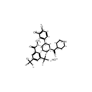 CN(C(=O)c1cc(C(F)(F)F)cc(C(F)(F)F)c1)[C@H]1CCN(C(=O)C2CCNCC2)C[C@@H]1c1ccc(Cl)c(Cl)c1.Cl